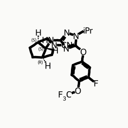 CC(C)n1nc(N[C@@H]2[C@@H]3CC[C@H]2CN(C#N)C3)nc1Oc1ccc(OC(F)(F)F)c(F)c1